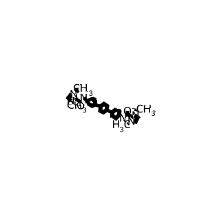 CCn1cc[n+](C)c1/C([O-])=N/c1ccc(-c2ccc(-c3ccc(/N=C(\[O-])c4n(CC)cc[n+]4C)cc3)cc2)cc1